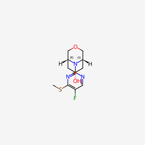 CSc1nc(N2[C@@H]3COC[C@H]2C[C@@H](O)C3)ncc1F